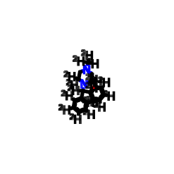 [2H]c1c([2H])c([2H])c(C([2H])(c2c([2H])c([2H])c([2H])c([2H])c2[2H])N2C([2H])([2H])CN(C([2H])([2H])[2H])CC2([2H])[2H])c([2H])c1[2H]